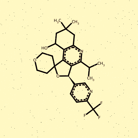 CC(C)c1nc2c(c3c1[C@@H](c1ccc(C(F)(F)F)nc1)OC31CCOCC1)C(O)CC(C)(C)C2